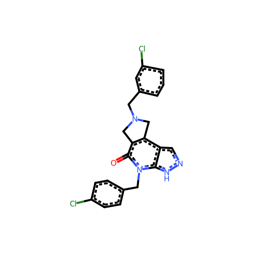 O=c1c2c(c3cn[nH]c3n1Cc1ccc(Cl)cc1)CN(Cc1cccc(Cl)c1)C2